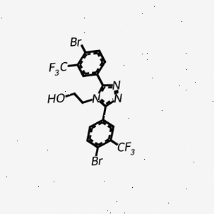 OCCn1c(-c2ccc(Br)c(C(F)(F)F)c2)nnc1-c1ccc(Br)c(C(F)(F)F)c1